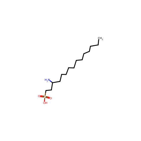 CCCCCCCCCCCCC(N)CCS(=O)(=O)O